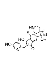 CCC(O)(c1cc(F)c2c(c1)C(=O)N(Cc1ccc(C#N)cn1)[C@@H]2O)C1(F)CCNCC1